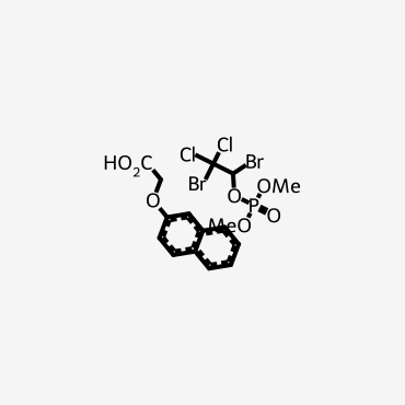 COP(=O)(OC)OC(Br)C(Cl)(Cl)Br.O=C(O)COc1ccc2ccccc2c1